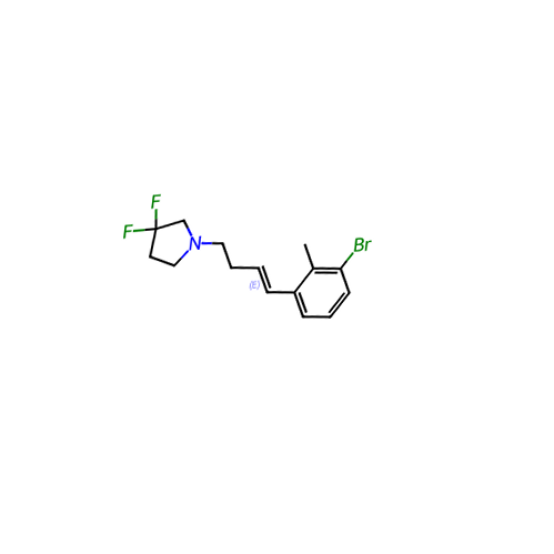 Cc1c(Br)cccc1/C=C/CCN1CCC(F)(F)C1